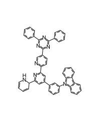 C1=CNC(c2cc(-c3cccc(-n4c5ccccc5c5ccccc54)c3)cc(-c3ccc(-c4nc(-c5ccccc5)nc(-c5ccccc5)n4)cn3)n2)C=C1